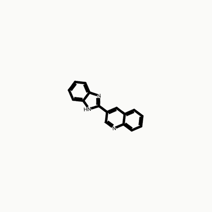 [c]1nc2ccccc2cc1-c1nc2ccccc2[nH]1